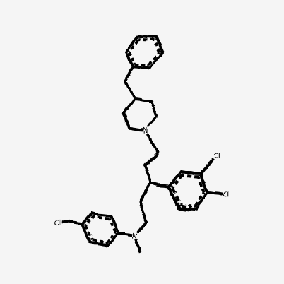 CN(CCC(CCN1CCC(Cc2ccccc2)CC1)c1ccc(Cl)c(Cl)c1)c1ccc(Cl)cc1